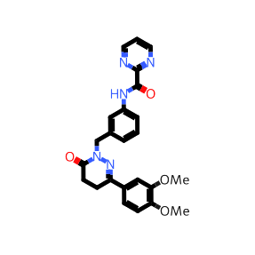 COc1ccc(C2=NN(Cc3cccc(NC(=O)c4ncccn4)c3)C(=O)CC2)cc1OC